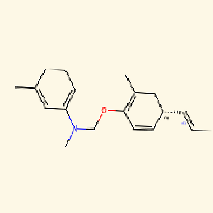 C/C=C/[C@@H]1C=CC(OCN(C)C2=CCCC(C)=C2)=C(C)C1